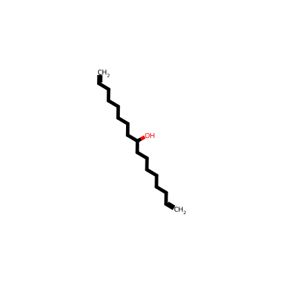 C=CCCCCCCC(O)CCCCCCC=C